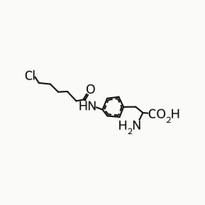 NC(Cc1ccc(NC(=O)CCCCCCl)cc1)C(=O)O